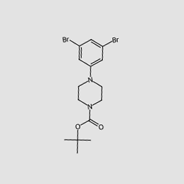 CC(C)(C)OC(=O)N1CCN(c2cc(Br)cc(Br)c2)CC1